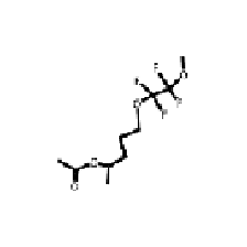 COC(F)(F)C(F)(F)OCCCC(C)OC(C)=O